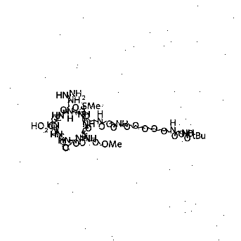 COCCOCCNC(=O)C1NC(=O)[C@H](Cc2ccccc2)NC(=O)CNC(=O)[C@H](CC(=O)O)NC(=O)CNC(=O)[C@H](CCCNC(=N)N)NC(=O)[C@H](CSSC)NC(=O)[C@H](CCCCNC(=O)COCC(=O)NCCOCCOCCOCCOCCOCCNC(=O)CONC(=O)OC(C)(C)C)NC(=O)CS1